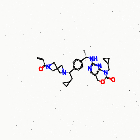 C=CC(=O)N1CC2(C1)CN(C(CC1CC1)c1ccc([C@H](C)Nc3ncc4c(n3)N(CC3CC3)C(=O)OC4)cc1)C2